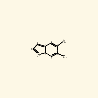 ClC1=CC2N=CC=C2C=C1Br